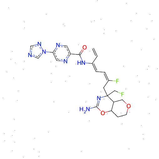 C=C/C(=C\C=C(\F)CC1(CF)N=C(N)OC2CCOCC21)NC(=O)c1cnc(-n2cncn2)cn1